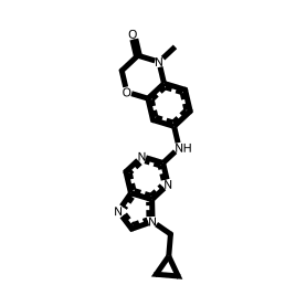 CN1C(=O)COc2cc(Nc3ncc4ncn(CC5CC5)c4n3)ccc21